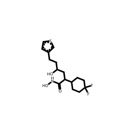 O=C(NO)C(CC(O)[CH]Cc1ccsc1)C1CCC(F)(F)CC1